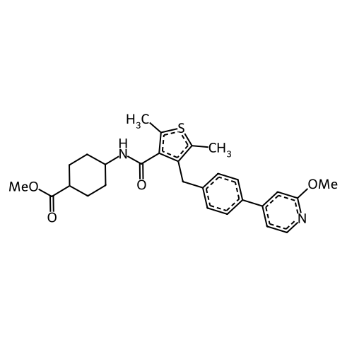 COC(=O)C1CCC(NC(=O)c2c(C)sc(C)c2Cc2ccc(-c3ccnc(OC)c3)cc2)CC1